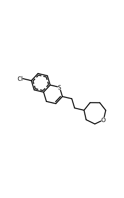 Clc1ccc2c(c1)CC=C(CCC1CCCOCC1)S2